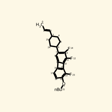 C/C=C/C1CCC(c2cc3c(c(F)c2F)-c2c-3ccc(OCCCC)c2F)CC1